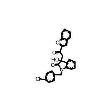 O=C(CC1(O)C(=O)N(Cc2ccc(Cl)cc2)c2ccccc21)c1cc2ccccc2o1